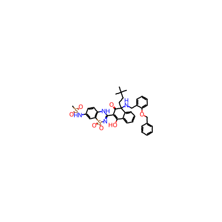 CC(C)(C)CCC1(NCc2ccccc2OCc2ccccc2)C(=O)C(C2=NS(=O)(=O)c3cc(NS(C)(=O)=O)ccc3N2)=C(O)c2ccccc21